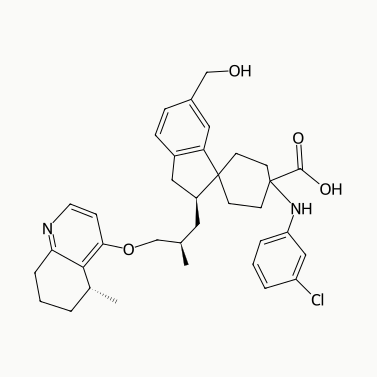 C[C@@H](COc1ccnc2c1[C@H](C)CCC2)C[C@H]1Cc2ccc(CO)cc2C12CCC(Nc1cccc(Cl)c1)(C(=O)O)CC2